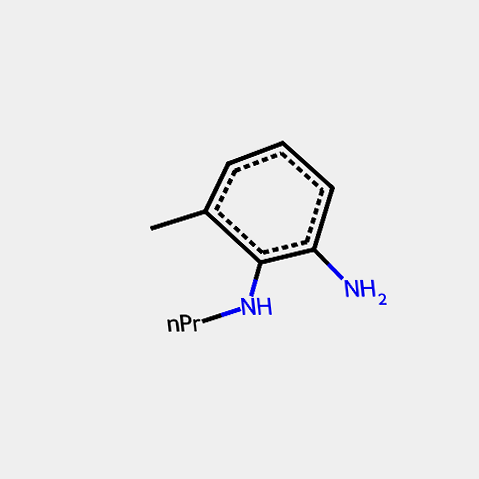 CCCNc1c(C)cccc1N